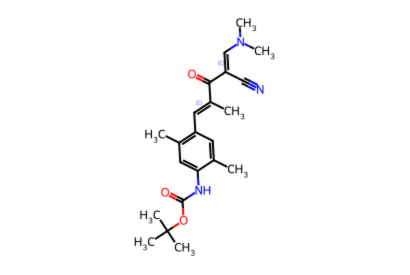 C/C(=C\c1cc(C)c(NC(=O)OC(C)(C)C)cc1C)C(=O)/C(C#N)=C/N(C)C